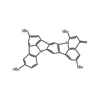 C=c1cc(C(C)(C)C)n2c3cc4c5cc(C(C)(C)C)cc6c7cc(CCCC)ccc7n(c4cc3c3cc(C(C)(C)C)cc1c32)c65